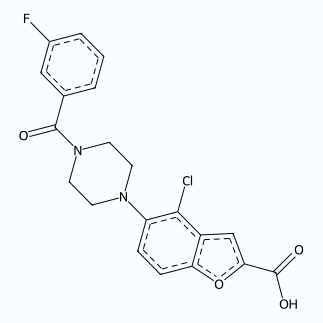 O=C(O)c1cc2c(Cl)c(N3CCN(C(=O)c4cccc(F)c4)CC3)ccc2o1